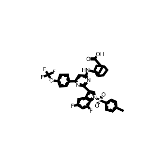 Cc1ccc(S(=O)(=O)n2cc(-c3nc(NC4C5CCC(CC5)C4C(=O)O)cc(-c4ccc(OC(F)(F)F)cc4)n3)c3cc(F)cc(F)c32)cc1